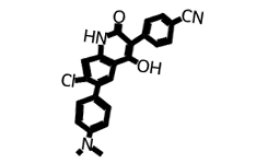 CN(C)c1ccc(-c2cc3c(O)c(-c4ccc(C#N)cc4)c(=O)[nH]c3cc2Cl)cc1